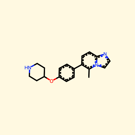 Cc1c(-c2ccc(OC3CCNCC3)cc2)ccc2nccn12